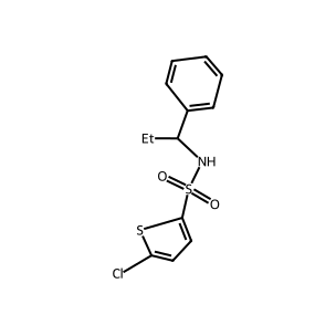 CCC(NS(=O)(=O)c1ccc(Cl)s1)c1ccccc1